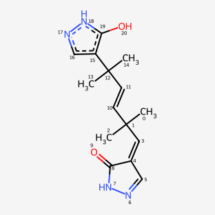 CC(C)(/C=C1/C=NNC1=O)/C=C/C(C)(C)c1cn[nH]c1O